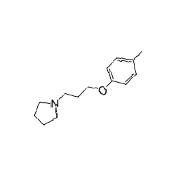 Cc1ccc(OCCCN2CCCC2)cc1